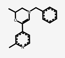 Cc1cc(C2=CN(Cc3ccccc3)CC(C)O2)ccn1